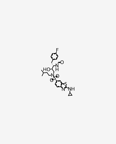 CC(C)CCN(C[C@@H](O)[C@H](Cc1ccc(F)cc1)NC=O)S(=O)(=O)c1ccc2nc(NC3CC3)sc2c1